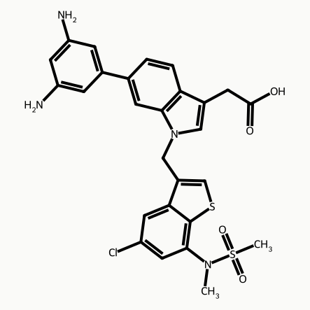 CN(c1cc(Cl)cc2c(Cn3cc(CC(=O)O)c4ccc(-c5cc(N)cc(N)c5)cc43)csc12)S(C)(=O)=O